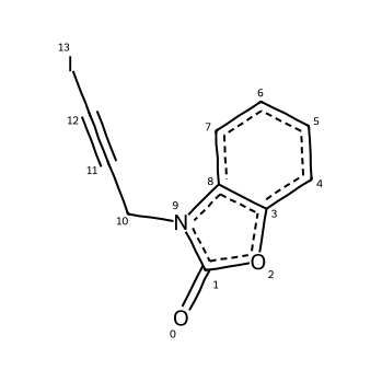 O=c1oc2ccccc2n1CC#CI